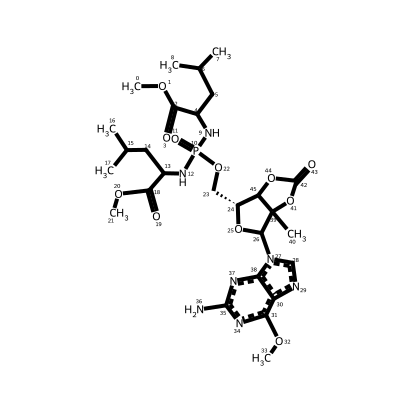 COC(=O)C(CC(C)C)NP(=O)(NC(CC(C)C)C(=O)OC)OC[C@H]1OC(n2cnc3c(OC)nc(N)nc32)C2(C)OC(=O)OC12